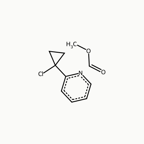 COC=O.ClC1(c2ccccn2)CC1